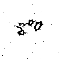 O=C(c1cccc(F)c1)N1CCC(c2ccc(Oc3ccccc3)cc2)=N1